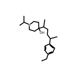 CCc1ccc(C(C)CCC(C)C2(O)CCN(C(C)C)CC2)cc1